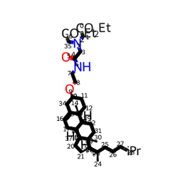 CCOC(=O)CN(CC(=O)NCCO[C@H]1CC[C@@]2(C)C(=CC[C@H]3[C@@H]4CC[C@H]([C@H](C)CCCC(C)C)[C@@]4(C)CC[C@@H]32)C1)CC(=O)OCC